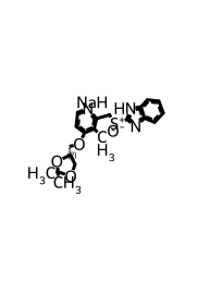 Cc1c(OC[C@@H]2COC(C)(C)O2)ccnc1C[S+]([O-])c1nc2ccccc2[nH]1.[NaH]